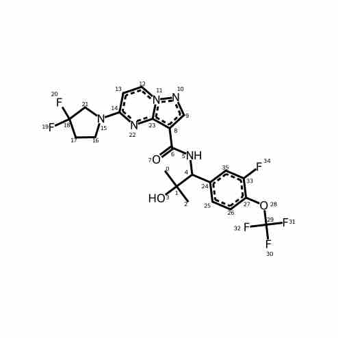 CC(C)(O)C(NC(=O)c1cnn2ccc(N3CCC(F)(F)C3)nc12)c1ccc(OC(F)(F)F)c(F)c1